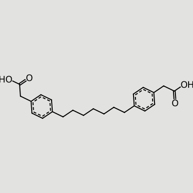 O=C(O)Cc1ccc(CCCCCCCc2ccc(CC(=O)O)cc2)cc1